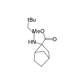 COC(=O)C1(NCCC(C)(C)C)CC2CCC1C2